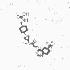 O=C(O)NC[C@H]1CC[C@H](N2CC(NC(=O)CNc3ncnc4ccc(C(F)(F)F)cc34)C2)CC1